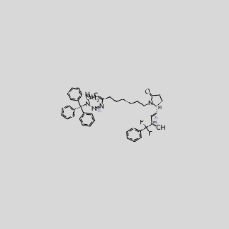 C=C(CCCCCCN1C(=O)CC[C@@H]1/C=C/[C@@H](O)C(F)(F)c1ccccc1)/N=N\N(N)C(c1ccccc1)(c1ccccc1)c1ccccc1